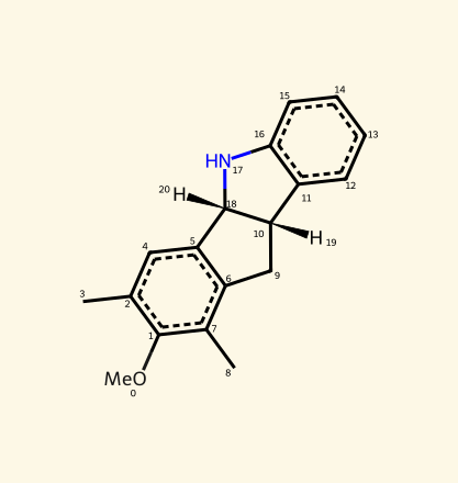 COc1c(C)cc2c(c1C)C[C@H]1c3ccccc3N[C@@H]21